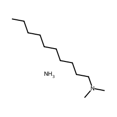 CCCCCCCCCCN(C)C.N